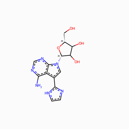 Nc1ncnc2c1c(-c1ncc[nH]1)cn2[C@@H]1O[C@H](CO)C(O)C1O